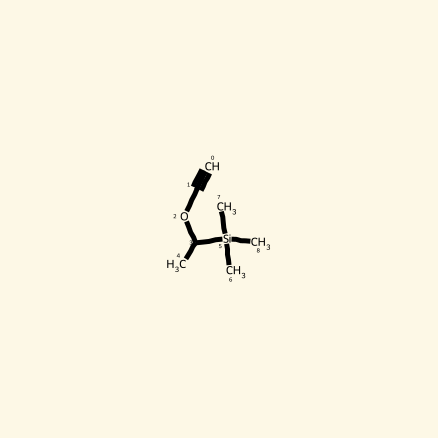 C#COC(C)[Si](C)(C)C